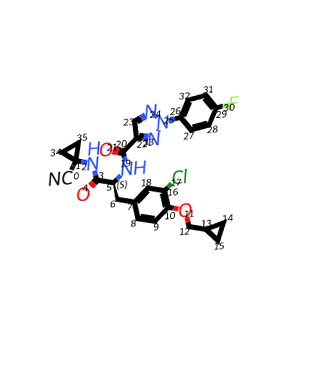 N#CC1(NC(=O)[C@H](Cc2ccc(OCC3CC3)c(Cl)c2)NC(=O)c2cnn(-c3ccc(F)cc3)n2)CC1